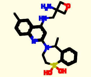 Cc1ccc2nc(N3CCS(O)(O)c4ccccc4C3C)cc(NCC3(N)COC3)c2c1